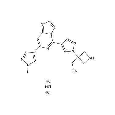 Cl.Cl.Cl.Cn1cc(-c2cc3nccn3c(-c3cnn(C4(CC#N)CNC4)c3)n2)cn1